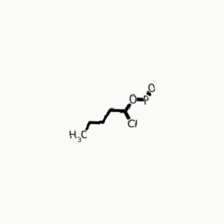 CCCCC(Cl)OP=O